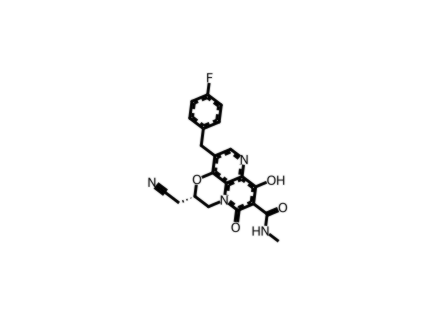 CNC(=O)c1c(O)c2ncc(Cc3ccc(F)cc3)c3c2n(c1=O)C[C@H](CC#N)O3